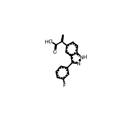 C=C(C(=O)O)c1ccc2[nH]nc(-c3cccc(F)c3)c2c1